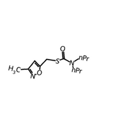 CCCN(CCC)C(=O)SCc1cc(C)no1